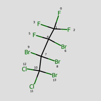 FC(F)(F)C(F)(Br)C(Br)(Br)C(Cl)(Cl)Br